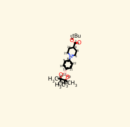 CC(C)(C)OC(=O)C1CCN(c2ccc(B3OC(C)(C)C(C)(C)O3)cc2)CC1